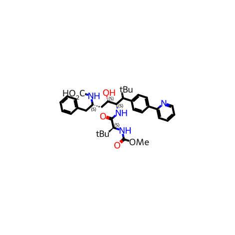 COC(=O)N[C@H](C(=O)N[C@@H](C(c1ccc(-c2ccccn2)cc1)C(C)(C)C)[C@@H](O)C[C@H](Cc1ccccc1)NC(=O)O)C(C)(C)C